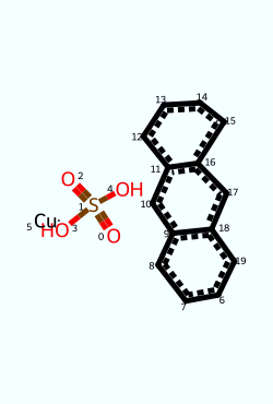 O=S(=O)(O)O.[Cu].c1ccc2cc3ccccc3cc2c1